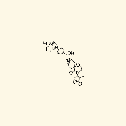 CC1=C(N2CCOC3(CC4CCC(C3)N4CC(O)c3ccc(N(N)/C=N\N)nc3)C2=O)COC1=O